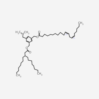 CCCCC/C=C\C/C=C\CCCCCCCCCC(=O)OCc1cc(COC(=O)CC(CCCCCCCC)CCCCCCCC)cc(CN(C)C)c1